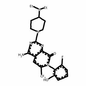 CCN(CC)C1CCN(c2nc(N)c3cc(C(F)(F)F)n(-c4c(O)cccc4F)c(=O)c3n2)CC1